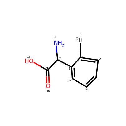 [2H]c1ccccc1C(N)C(=O)O